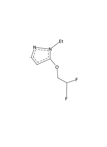 CCn1n[c]cc1OCC(F)F